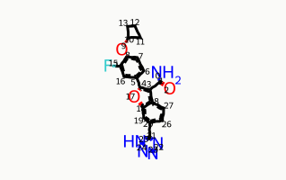 NC(=O)c1c(-c2ccc(OC3CCC3)c(F)c2)oc2cc(-c3nnn[nH]3)ccc12